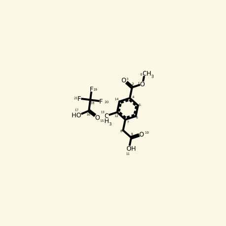 COC(=O)c1ccc(CC(=O)O)c(C)c1.O=C(O)C(F)(F)F